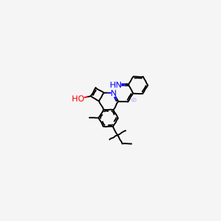 CCC(C)(C)c1cc(C)c2c(c1)C(/C=C1/C=CC=CC1=N)=NC1C=C(O)C21